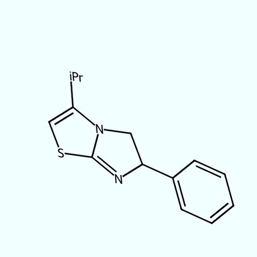 CC(C)C1=CSC2=NC(c3ccccc3)CN12